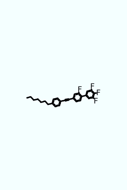 CCCCCCCc1ccc(C#Cc2ccc(-c3cc(F)c(F)c(F)c3)c(F)c2)cc1